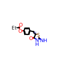 CCC(=O)Oc1ccc(/C=C2/SC(=N)NC2=O)cc1